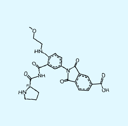 COCCNc1ccc(N2C(=O)c3ccc(C(=O)O)cc3C2=O)cc1C(=O)NC(=O)[C@H]1CCCN1